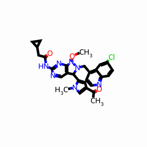 CON1c2nc(NC(=O)CC3CC3)ncc2C(c2cc(C(C)=O)cn2C)N1Cc1ccnc2ccc(Cl)cc12